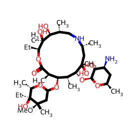 CC[C@@H]1OC(=O)[C@H](C)[C@H](OC2C[C@@](C)(OC)[C@](O)(CC)[C@H](C)O2)[C@@H](C)[C@@H](O[C@@H]2O[C@H](C)C[C@H](N)[C@H]2O)[C@](C)(O)C[C@@H](C)NC[C@@H](C)[C@H](O)[C@]1(C)O